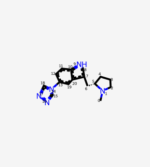 CN1CCC[C@H]1Cc1c[nH]c2ccc(-n3cnnc3)cc12